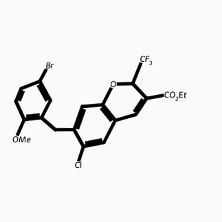 CCOC(=O)C1=Cc2cc(Cl)c(Cc3cc(Br)ccc3OC)cc2OC1C(F)(F)F